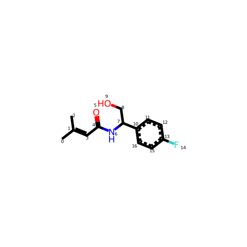 CC(C)=CC(=O)NC(CO)c1ccc(F)cc1